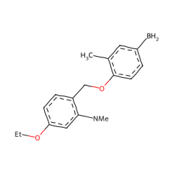 Bc1ccc(OCc2ccc(OCC)cc2NC)c(C)c1